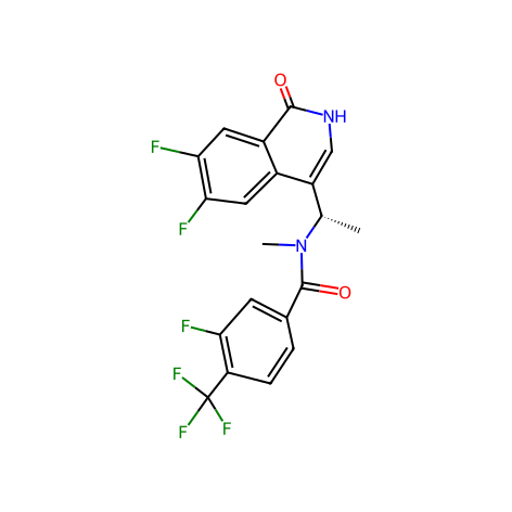 C[C@@H](c1c[nH]c(=O)c2cc(F)c(F)cc12)N(C)C(=O)c1ccc(C(F)(F)F)c(F)c1